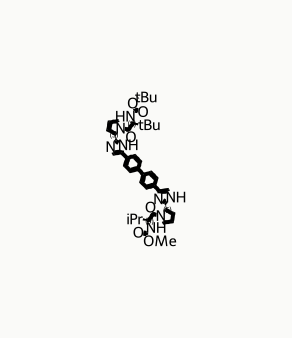 COC(=O)N[C@H](C(=O)N1CCC[C@H]1c1nc(-c2ccc(-c3ccc(-c4cnc([C@@H]5C=CCN5C(=O)[C@@H](NC(=O)OC(C)(C)C)C(C)(C)C)[nH]4)cc3)cc2)c[nH]1)C(C)C